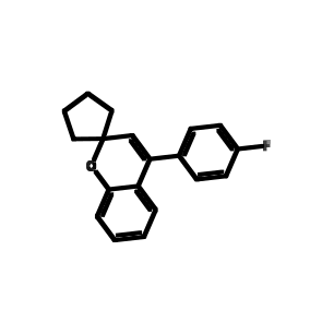 Fc1ccc(C2=CC3(CCCC3)Oc3ccccc32)cc1